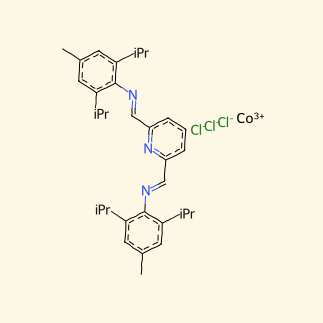 Cc1cc(C(C)C)c(N=Cc2cccc(C=Nc3c(C(C)C)cc(C)cc3C(C)C)n2)c(C(C)C)c1.[Cl-].[Cl-].[Cl-].[Co+3]